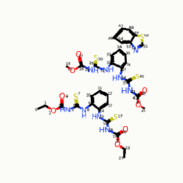 CCOC(=O)NC(=S)Nc1ccccc1NC(=S)NC(=O)OCC.COC(=O)NC(=S)Nc1ccccc1NC(=S)NC(=O)OC.c1ccc2scnc2c1